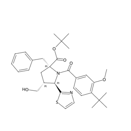 COc1cc(C(=O)N2[C@@H](c3nccs3)[C@H](CO)C[C@@]2(Cc2ccccc2)C(=O)OC(C)(C)C)ccc1C(C)(C)C